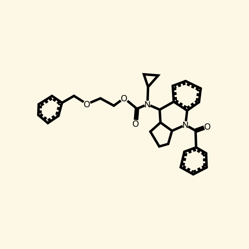 O=C(c1ccccc1)N1c2ccccc2C(N(C(=O)OCCOCc2ccccc2)C2CC2)C2CCCC21